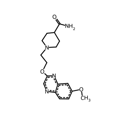 COc1ccc2ncc(OCCN3CCC(C(N)=O)CC3)nc2c1